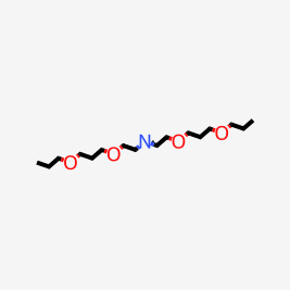 CCCOCCCOCC[N]CCOCCCOCCC